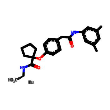 CC[C@H](C)[C@H](NC(=O)C1(Oc2ccc(CC(=O)Nc3cc(C)cc(C)c3)cc2)CCCC1)C(=O)O